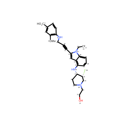 COc1cc(C(=O)O)ccc1NCC#Cc1cc2c(N[C@H]3CCN(CCO)C[C@H]3F)cccc2n1CC(F)(F)F